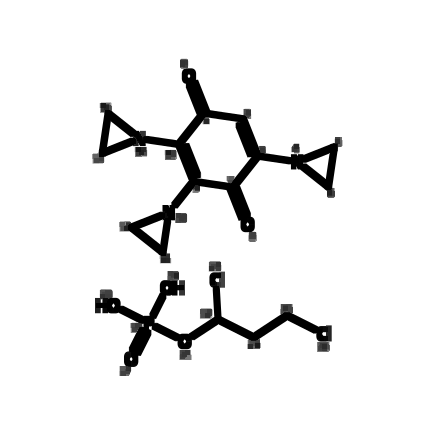 O=C1C=C(N2CC2)C(=O)C(N2CC2)=C1N1CC1.O=P(O)(O)OC(Cl)CCCl